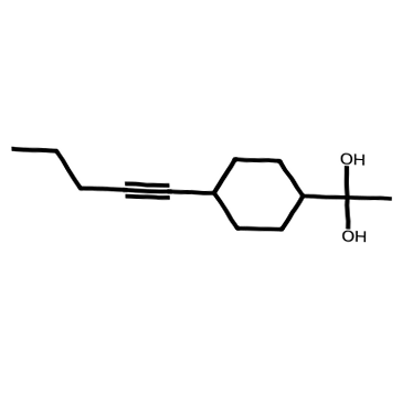 CCCC#CC1CCC(C(C)(O)O)CC1